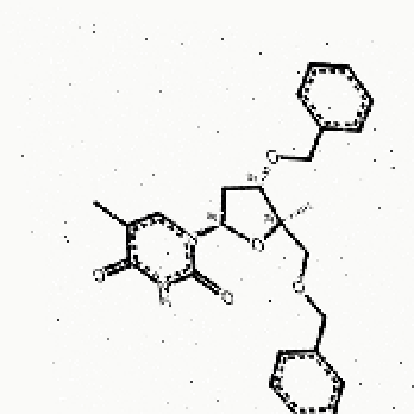 Cc1cn([C@H]2C[C@H](OCc3ccccc3)[C@@](C)(COCc3ccccc3)O2)c(=O)[nH]c1=O